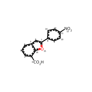 O=C(O)c1cccc2cc(-c3ccc([N+](=O)[O-])cc3)oc12